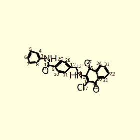 O=C(Nc1ccccc1)c1ccc(CNC2=C(Cl)C(=O)c3ccccc3C2=O)cc1